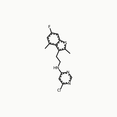 Cc1sc2cc(F)cc(C)c2c1CCNc1cc(Cl)ncn1